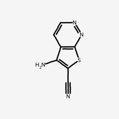 N#Cc1sc2nnccc2c1N